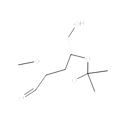 CO[C@@H](C=O)[C@H]1OC(C)(C)O[C@H]1CO